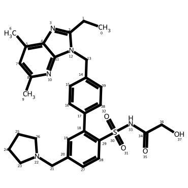 CCc1nc2c(C)cc(C)nc2n1Cc1ccc(-c2cc(CN3CCCC3)ccc2S(=O)(=O)NC(=O)CO)cc1